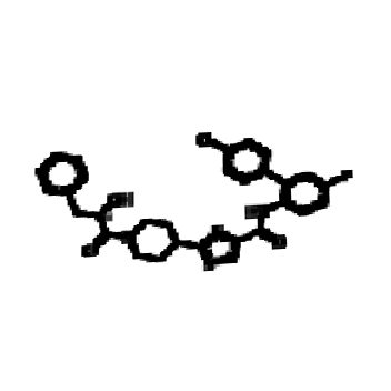 O=C(Nc1ccc(F)cc1-c1ccc(Cl)cc1)c1csc(C2CCN(C(=O)[C@H](O)Cc3ccccc3)CC2)n1